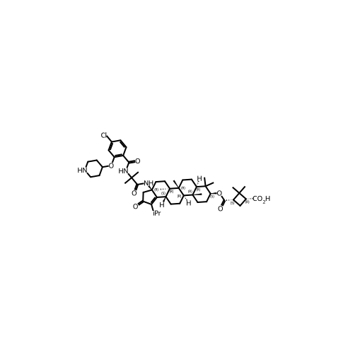 CC(C)C1=C2[C@H]3CC[C@@H]4[C@@]5(C)CC[C@H](OC(=O)[C@H]6C[C@@H](C(=O)O)C6(C)C)C(C)(C)[C@@H]5CC[C@@]4(C)[C@]3(C)CC[C@@]2(NC(=O)C(C)(C)NC(=O)c2ccc(Cl)cc2OC2CCNCC2)CC1=O